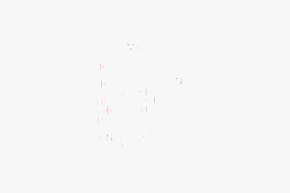 COC1CCC(CN2CCCC2)CC1C1CCC(O)C2C(O)C3=C(O)[C@]4(O)C(O)C(C(N)=O)C(O)C[C@@H]4[C@@H](O)[C@@H]3[C@@H](C)C12